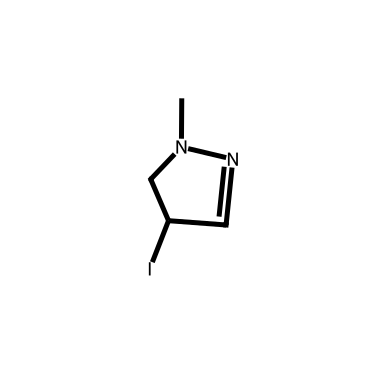 CN1CC(I)C=N1